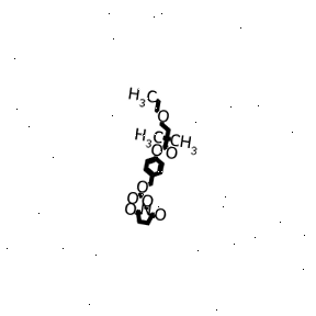 CCCOCCC(C)(C)C(=O)Oc1ccc(COC(=O)ON2C(=O)CCC2=O)cc1